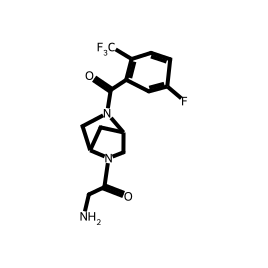 NCC(=O)N1CC2CC1CN2C(=O)c1cc(F)ccc1C(F)(F)F